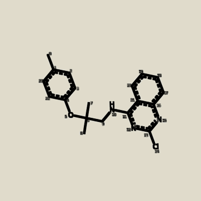 Cc1ccc(OC(C)(C)CNc2nc(Cl)nc3ccccc23)cc1